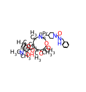 CCCN1C[C@H](C)C[C@@](C)(OC)[C@H](O[C@@H]2O[C@H](C)C[C@H](N(C)C)[C@H]2O)[C@@H](C)C(=O)C(C)(C)C(=O)OC[C@H]1CC1CCN(C(=O)NCc2ccccc2)CC1